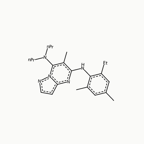 CCCN(CCC)c1c(C)c(Nc2c(C)cc(C)cc2CC)nc2ccnn12